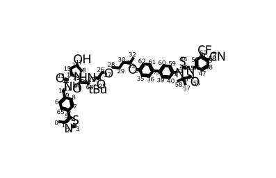 Cc1ncsc1-c1ccc(CNC(=O)[C@@H]2C[C@@H](O)CN2C(=O)C(NC(=O)COCCCC(C)Oc2ccc(-c3ccc(N4C(=S)N(c5ccc(C#N)c(C(F)(F)F)c5)C(=O)C4(C)C)cc3)cc2)C(C)(C)C)cc1